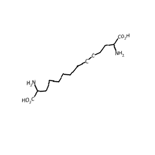 NC(CCCCCCCCCCC(N)C(=O)O)C(=O)O